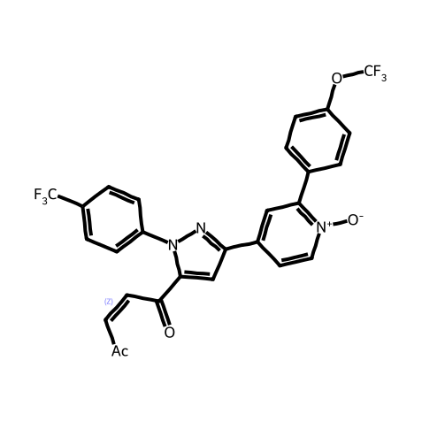 CC(=O)/C=C\C(=O)c1cc(-c2cc[n+]([O-])c(-c3ccc(OC(F)(F)F)cc3)c2)nn1-c1ccc(C(F)(F)F)cc1